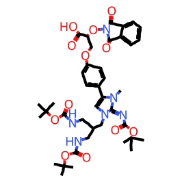 Cn1c(-c2ccc(OCC(ON3C(=O)c4ccccc4C3=O)C(=O)O)cc2)cn(CC(CNC(=O)OC(C)(C)C)CNC(=O)OC(C)(C)C)c1=NC(=O)OC(C)(C)C